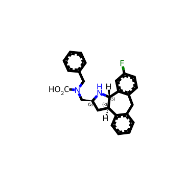 O=C(O)N(Cc1ccccc1)C[C@@H]1C[C@@H]2c3ccccc3Cc3ccc(F)cc3[C@H]2N1